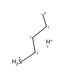 [CH2]CCC[SiH3].[H+]